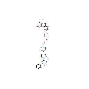 Cc1cc(N2CCN(C(=O)OCCN3CCC(N4CCN5/C(=C/C(=N)c6ccccc6O)C(=N)NCC5C4)CC3)CC2)ccc1C(=O)N(C=O)C1CCC(=O)NC1=O